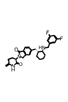 C=C1CCC(N2Cc3cc(C[C@H]4CCCC[C@@H]4NCc4cc(F)cc(F)c4)ccc3C2=O)C(=O)N1